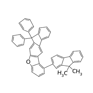 CC1(C)c2ccccc2-c2ccc(-c3cccc4oc5cc6c(cc5c34)-c3ccccc3C6(c3ccccc3)c3ccccc3)cc21